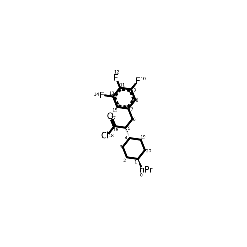 CCC[C@H]1CC[C@H](C(Cc2cc(F)c(F)c(F)c2)C(=O)Cl)CC1